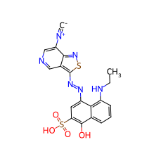 [C-]#[N+]c1cncc2c(/N=N/c3cc(S(=O)(=O)O)c(O)c4cccc(NCC)c34)snc12